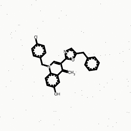 C=C1C(c2ncc(Cc3ccccc3)o2)=CN(Cc2ccc(Cl)cc2)c2ccc(O)cc21